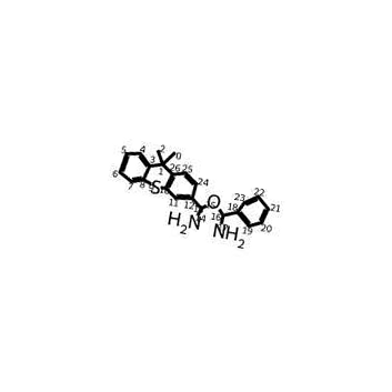 CC1(C)c2ccccc2Sc2cc(C(N)OC(N)c3ccccc3)ccc21